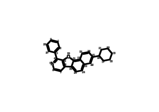 c1ccc(-c2nccc3c2oc2c4ccc(C5CCCCC5)cc4ccc32)cc1